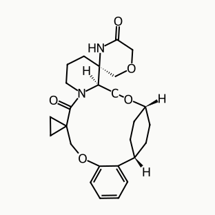 O=C1COC[C@]2(CCCN3C(=O)C4(CC4)COc4ccccc4[C@H]4CC[C@H](CC4)OC[C@@H]32)N1